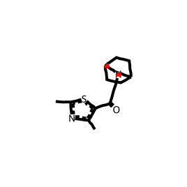 Cc1nc(C)c(C(=O)N2CC3CCC(CC3)C2)s1